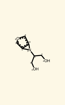 OCC(CO)N1c2cocc21